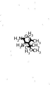 COC(C)(C)C(C(C)C)[C@H](N)C(N)=O